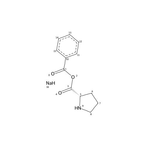 O=C(OC(=O)[C@@H]1CCCN1)c1ccccc1.[NaH]